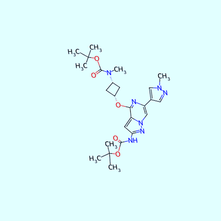 Cn1cc(-c2cn3nc(NC(=O)OC(C)(C)C)cc3c(O[C@H]3C[C@@H](N(C)C(=O)OC(C)(C)C)C3)n2)cn1